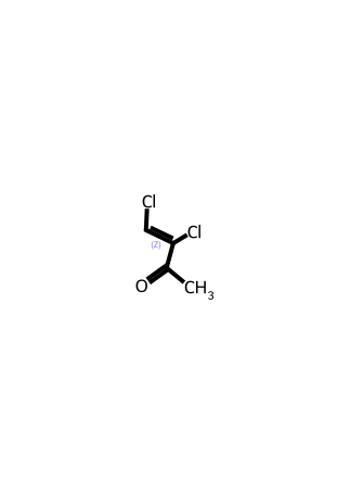 CC(=O)/C(Cl)=C/Cl